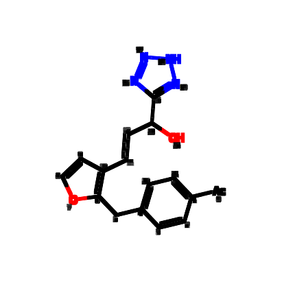 CC(=O)c1ccc(Cc2occc2C=CC(O)c2nn[nH]n2)cc1